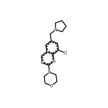 Clc1cc(CN2CCCC2)cc2cnc(N3CCOCC3)nc12